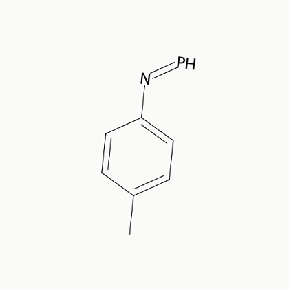 Cc1ccc(N=P)cc1